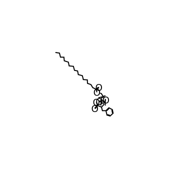 CCCCCCCCCCCCCCCCCC(=O)OCC(C)(C)S(=O)(=O)CC(Cc1ccccc1)C(=O)O